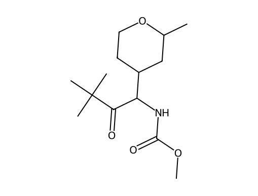 COC(=O)NC(C(=O)C(C)(C)C)C1CCOC(C)C1